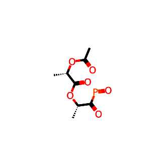 CC(=O)O[C@@H](C)C(=O)O[C@@H](C)C(=O)P=O